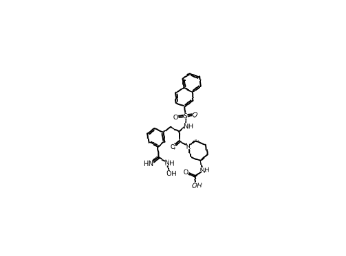 N=C(NO)c1cccc(CC(NS(=O)(=O)c2ccc3ccccc3c2)C(=O)N2CCC[C@@H](NC(=O)O)C2)c1